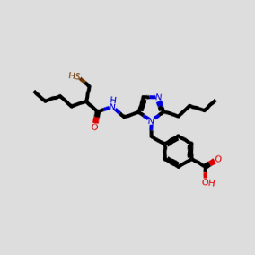 CCCCc1ncc(CNC(=O)C(CS)CCCC)n1Cc1ccc(C(=O)O)cc1